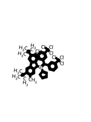 Cc1cc2c(cc1C(C)(C)C)-c1cc(C(C)(C)C)c(C)cc1[CH]2[Zr]([C]1=CC=CC1)=[C](c1cccc(C(Cl)(Cl)Cl)c1)c1cccc(C(Cl)(Cl)Cl)c1